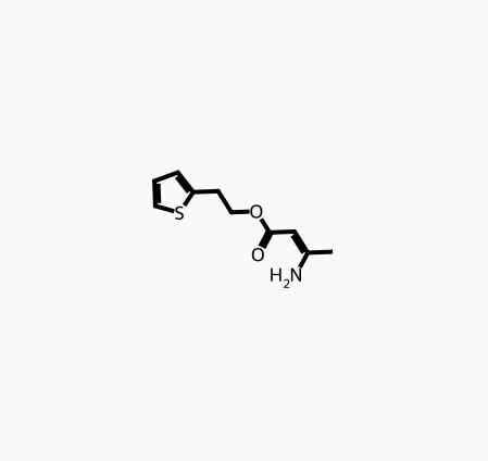 CC(N)=CC(=O)OCCc1cccs1